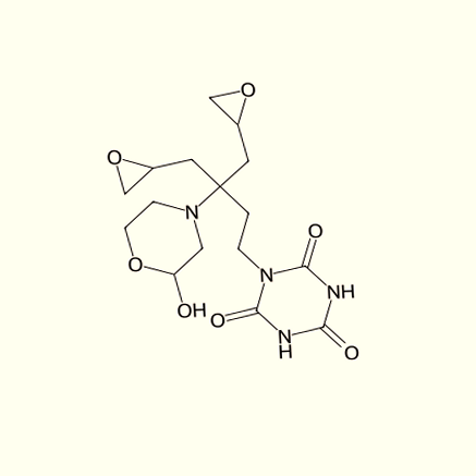 O=c1[nH]c(=O)n(CCC(CC2CO2)(CC2CO2)N2CCOC(O)C2)c(=O)[nH]1